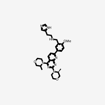 COc1ccc(-c2ccc3c(N4CCOCC4C)nc(N4CCOC[C@@H]4C)nc3n2)cc1CNCCc1cnc[nH]1